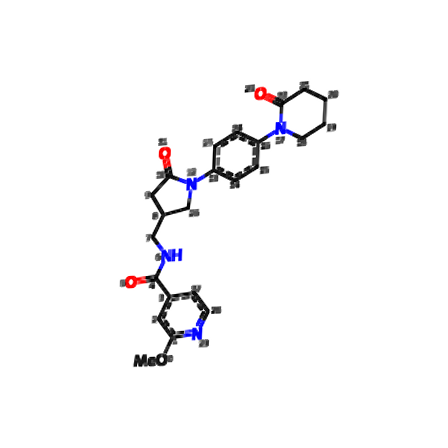 COc1cc(C(=O)NCC2CC(=O)N(c3ccc(N4CCCCC4=O)cc3)C2)ccn1